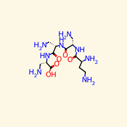 NCC[C@H](N)C(=O)N[C@@H](CN)C(=O)N[C@@H](CN)C(=O)N[C@@H](CN)C(=O)O